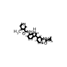 Cc1ccncc1C(=O)Nc1cccc2c(-c3ccnc(NC(=O)C4CC4)c3)c[nH]c12